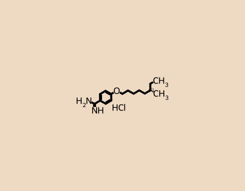 CC[C@H](C)CCCCCOc1ccc(C(=N)N)cc1.Cl